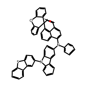 c1ccc(N(c2ccc3c(c2)c2ccccc2n3-c2ccc3sc4ccccc4c3c2)c2ccc3c4c(cccc24)C2(c4ccccc4Oc4ccccc42)c2ccccc2-3)cc1